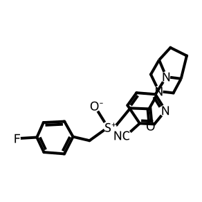 N#Cc1ccc(N2C3CCC2CN(C(=O)CC[S+]([O-])Cc2ccc(F)cc2)C3)nc1